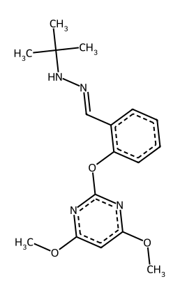 COc1cc(OC)nc(Oc2ccccc2C=NNC(C)(C)C)n1